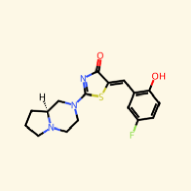 O=C1N=C(N2CCN3CCC[C@H]3C2)SC1=Cc1cc(F)ccc1O